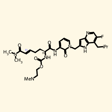 CNCCOC(=O)N[C@@H](CC/C=C/C(=O)N(C)C)C(=O)Nc1cccn(Cc2cc3ncc(F)c(CC(C)C)c3[nH]2)c1=O